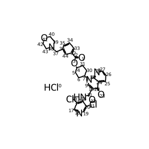 Cl.O=C(OC1CCC(n2cc(C(=O)Nc3c(Cl)cncc3Cl)c(=O)c3cccnc32)CC1)c1cccc(CN2CCOCC2)c1